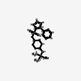 CC(C)(C)[Si](C)(C)OC1CCC(CS(=O)(=O)c2nnnn2-c2ccccc2)CC1